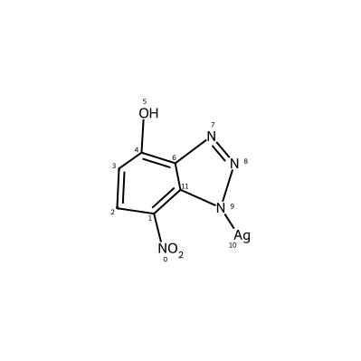 O=[N+]([O-])c1ccc(O)c2nn[n]([Ag])c12